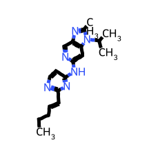 CCCC=Cc1nccc(Nc2cc3c(cn2)nc(C)n3C(C)C)n1